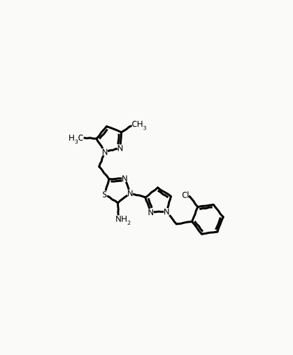 Cc1cc(C)n(CC2=NN(c3ccn(Cc4ccccc4Cl)n3)C(N)S2)n1